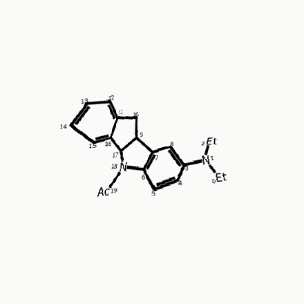 CCN(CC)c1ccc2c(c1)C1Cc3ccccc3C1N2C(C)=O